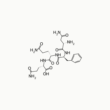 NC(=O)CC[C@H](NC(=O)[C@H](CCC(N)=O)NC(=O)[C@H](Cc1ccccc1)NC(=O)[C@@H](N)CC(N)=O)C(=O)O